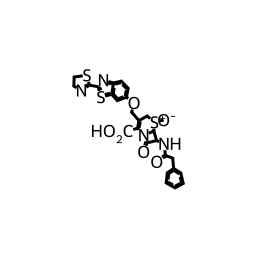 O=C(Cc1ccccc1)NC1C(=O)N2C(C(=O)O)=C(COc3ccc4nc(C5=NCCS5)sc4c3)C[S+]([O-])C12